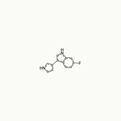 Fc1ccc2c(-c3cc[nH]c3)c[nH]c2c1